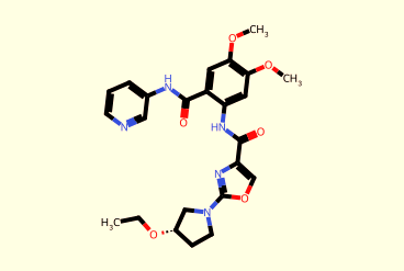 CCO[C@H]1CCN(c2nc(C(=O)Nc3cc(OC)c(OC)cc3C(=O)Nc3cccnc3)co2)C1